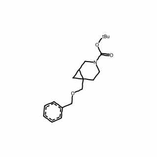 CC(C)(C)OC(=O)N1CCC2(COCc3ccccc3)CC2C1